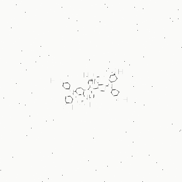 CC(=O)NC1=CC(=[N+](c2ccc(C)cc2)c2ccc(C)cc2)C=C/C1=C1\C(=O)C(c2ccc(N(c3ccc(C)cc3)c3ccc(C)cc3)cc2NC(C)=O)=C1O